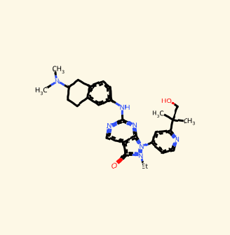 CCn1c(=O)c2cnc(Nc3ccc4c(c3)CCC(N(C)C)C4)nc2n1-c1ccnc(C(C)(C)CO)c1